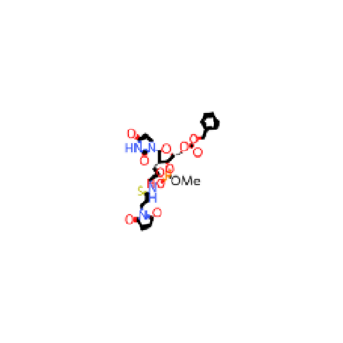 COP(=O)(O)OC1[C@@H](COC(=O)OCc2ccccc2)O[C@@H](n2ccc(=O)[nH]c2=O)[C@H]1CCCNC(=S)CCN1C(=O)C=CC1=O